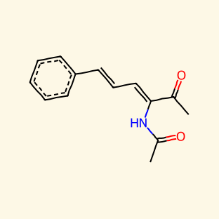 CC(=O)N/C(=C\C=C\c1ccccc1)C(C)=O